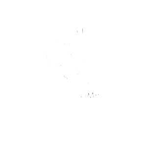 [CH2]OCc1cc2c(C(F)(F)F)cccc2s1